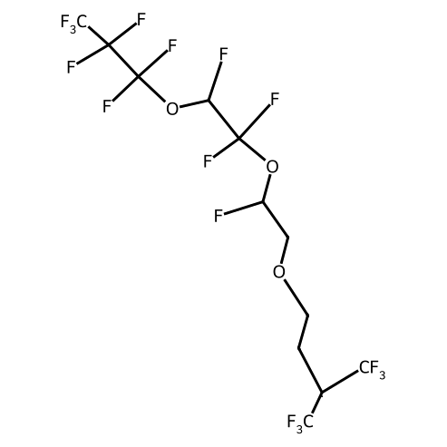 FC(COCC[C](C(F)(F)F)C(F)(F)F)OC(F)(F)C(F)OC(F)(F)C(F)(F)C(F)(F)F